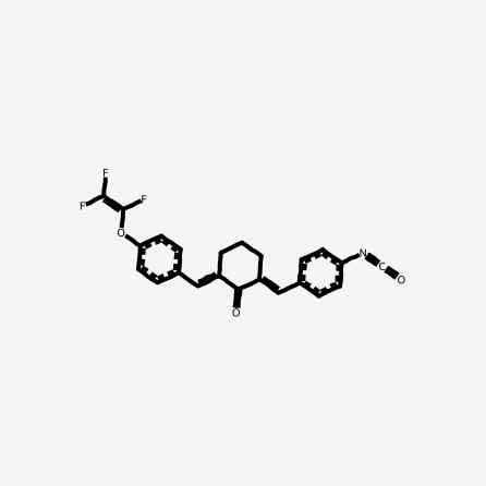 O=C=Nc1ccc(C=C2CCCC(=Cc3ccc(OC(F)=C(F)F)cc3)C2=O)cc1